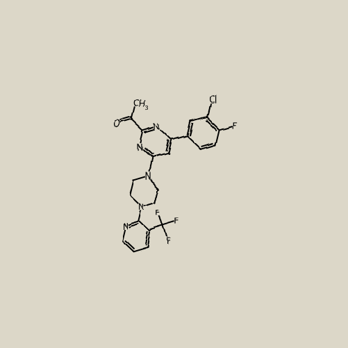 CC(=O)c1nc(-c2ccc(F)c(Cl)c2)cc(N2CCN(c3ncccc3C(F)(F)F)CC2)n1